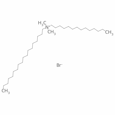 CCCCCCCCCCCCCCCCCC[N+](C)(C)CCCCCCCCCCCCCC.[Br-]